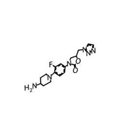 NC1CCN(c2ccc(N3CC(Cn4ccnn4)OC3=O)cc2F)CC1